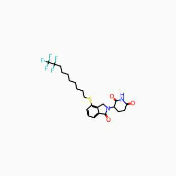 O=C1CCC(N2Cc3c(SCCCCCCCCC(F)(F)C(F)(F)F)cccc3C2=O)C(=O)N1